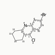 Clc1c2c(nc3cc(Br)ccc13)CCCC2